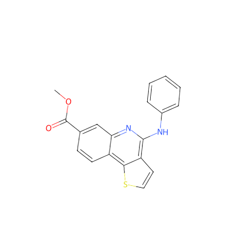 COC(=O)c1ccc2c(c1)nc(Nc1ccccc1)c1ccsc12